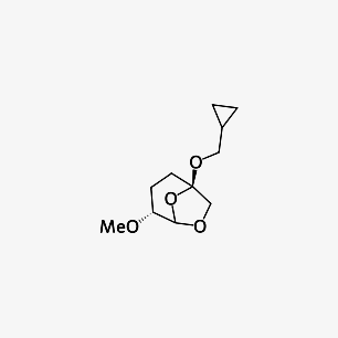 CO[C@@H]1CC[C@]2(OCC3CC3)COC1O2